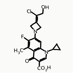 Cc1c(F)c(N2CC(=C(Cl)CO)C2)cc2c1c(=O)c(C(=O)O)cn2C1CC1